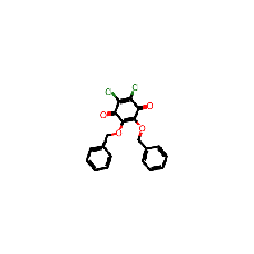 O=C1C(Cl)=C(Cl)C(=O)C(OCc2ccccc2)=C1OCc1ccccc1